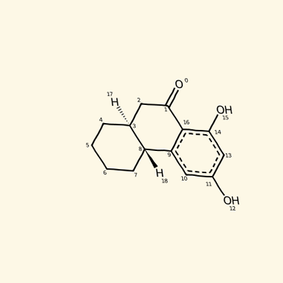 O=C1C[C@@H]2CCCC[C@H]2c2cc(O)cc(O)c21